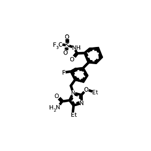 CCOc1nc(CC)c(C(N)=O)n1Cc1ccc(-c2ccccc2C(=O)NS(=O)(=O)C(F)(F)F)cc1F